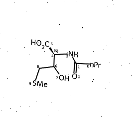 CCCC(=O)N[C@H](C(=O)O)C(O)CSC